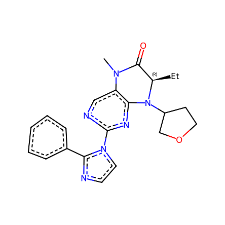 CC[C@@H]1C(=O)N(C)c2cnc(-n3ccnc3-c3ccccc3)nc2N1C1CCOC1